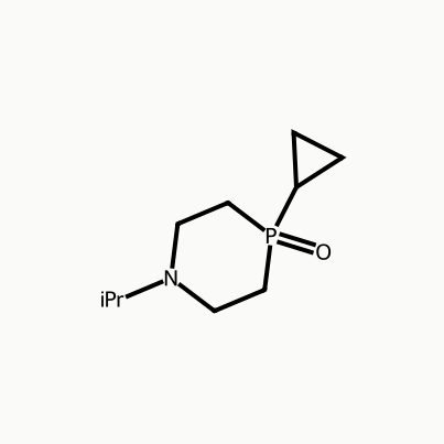 CC(C)N1CCP(=O)(C2CC2)CC1